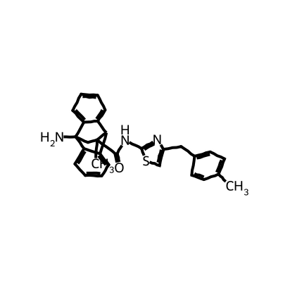 Cc1ccc(Cc2csc(NC(=O)C3(C)CC4(N)c5ccccc5C3c3ccccc34)n2)cc1